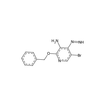 N=Nc1c(Br)cnc(OCc2ccccc2)c1N